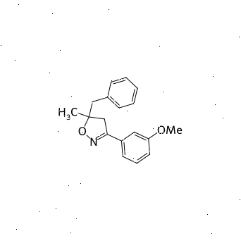 COc1cccc(C2=NOC(C)(Cc3ccccc3)C2)c1